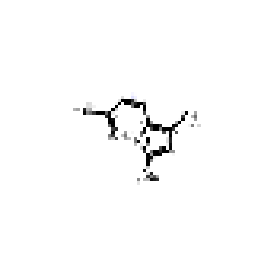 C=C(/C=C\c1[nH]c(C(C)(C)C)cc1C)C(C)(C)C